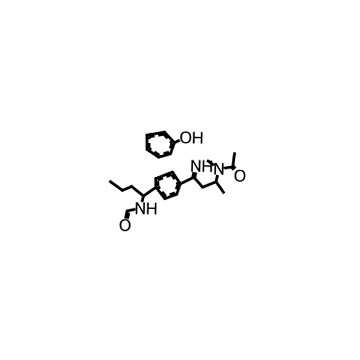 CCCC(NC=O)c1ccc(C(=N)CC(C)N(C)C(C)=O)cc1.Oc1ccccc1